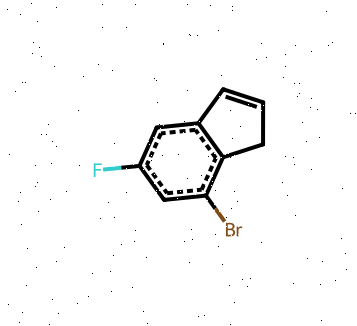 Fc1cc(Br)c2c(c1)C=CC2